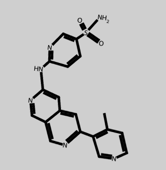 Cc1ccncc1-c1cc2cc(Nc3ccc(S(N)(=O)=O)cn3)ncc2cn1